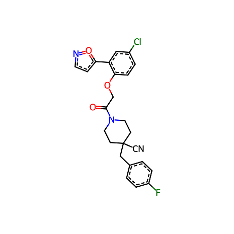 N#CC1(Cc2ccc(F)cc2)CCN(C(=O)COc2ccc(Cl)cc2-c2ccno2)CC1